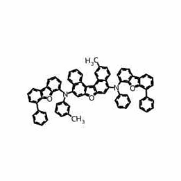 Cc1cccc(N(c2cc3oc4cc(N(c5ccccc5)c5cccc6c5oc5c(-c7ccccc7)cccc56)c5ccc(C)cc5c4c3c3ccccc23)c2cccc3c2oc2c(-c4ccccc4)cccc23)c1